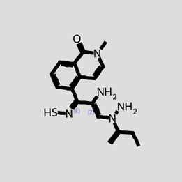 C=C(CC)N(N)/C=C(N)/C(=N/S)c1cccc2c(=O)n(C)ccc12